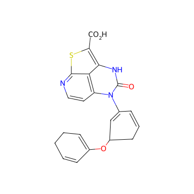 O=C(O)c1sc2nccc3c2c1NC(=O)N3C1=CC(OC2=CCCC=C2)CC=C1